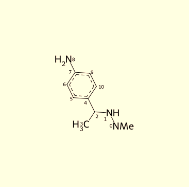 CNNC(C)c1ccc(N)cc1